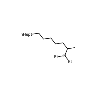 CCCCCCCCCCCCC(C)N(CC)CC